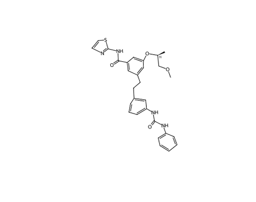 COC[C@H](C)Oc1cc(CCc2cccc(NC(=O)Nc3ccccc3)c2)cc(C(=O)Nc2nccs2)c1